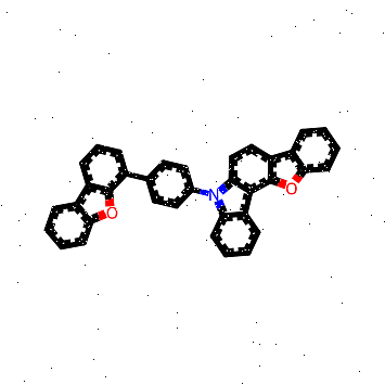 c1ccc2c(c1)oc1c(-c3ccc(-n4c5ccccc5c5c6oc7ccccc7c6ccc54)cc3)cccc12